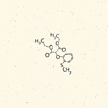 CCOC(=O)C(Oc1ccccc1SC)C(=O)OCC